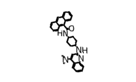 CN(C)c1cc(N[C@H]2CC[C@@H](NC(=O)c3c4ccccc4cc4ccccc34)CC2)nc2ccccc12